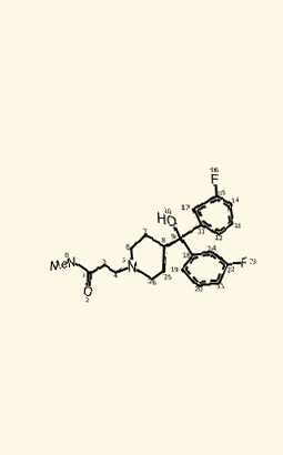 CNC(=O)CCN1CCC(C(O)(c2cccc(F)c2)c2cccc(F)c2)CC1